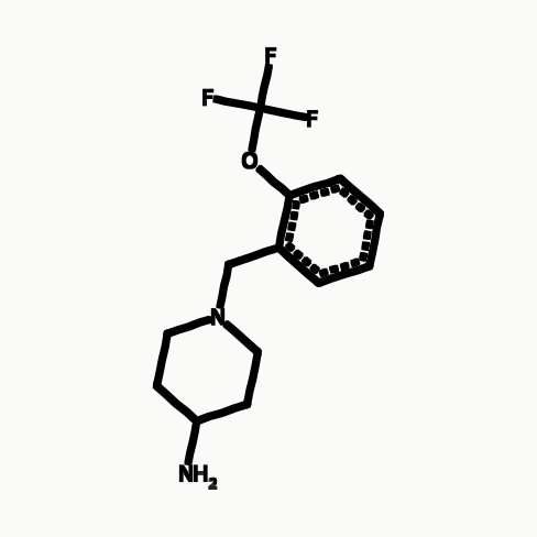 NC1CCN(Cc2ccccc2OC(F)(F)F)CC1